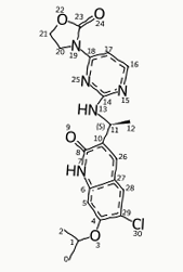 CC(C)Oc1cc2[nH]c(=O)c([C@H](C)Nc3nccc(N4CCOC4=O)n3)cc2cc1Cl